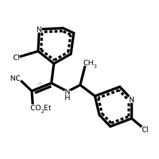 CCOC(=O)/C(C#N)=C(\NC(C)c1ccc(Cl)nc1)c1cccnc1Cl